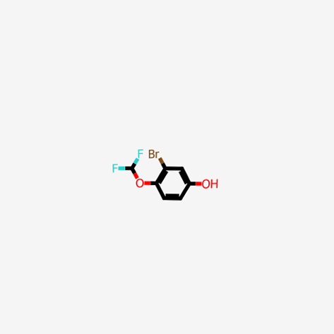 Oc1ccc(OC(F)F)c(Br)c1